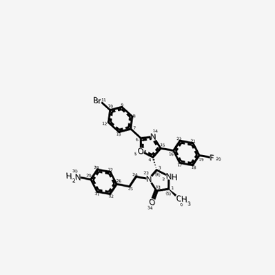 C[C@@H]1N[C@@H](c2oc(-c3ccc(Br)cc3)nc2-c2ccc(F)cc2)N(CCc2ccc(N)cc2)C1=O